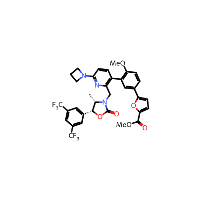 COC(=O)c1ccc(-c2ccc(OC)c(-c3ccc(N4CCC4)nc3CN3C(=O)O[C@H](c4cc(C(F)(F)F)cc(C(F)(F)F)c4)[C@@H]3C)c2)o1